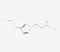 CN(C)CCn1cc(OB(O)O)cn1